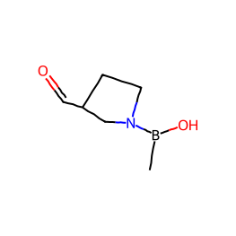 CB(O)N1CCC(C=O)C1